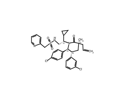 C=CC[C@@]1(C)C[C@H](c2cccc(Cl)c2)[C@@H](c2ccc(Cl)cc2)N([C@H](CNS(=O)(=O)Cc2ccccn2)C2CC2)C1=O